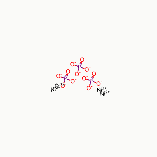 O=P([O-])([O-])[O-].O=P([O-])([O-])[O-].O=P([O-])([O-])[O-].[Cr+3].[Ni+2].[Ni+2].[Ni+2]